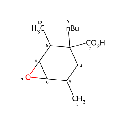 CCCCC1(C(=O)O)CC(C)C2OC2C1C